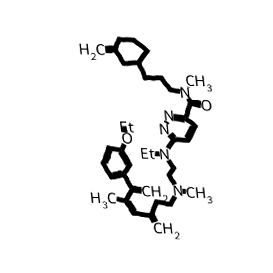 C=C(/C=C(/C)C(=C)c1cccc(OCC)c1)CCN(C)CCN(CC)c1ccc(C(=O)N(C)CCCC2CCCC(=C)C2)nn1